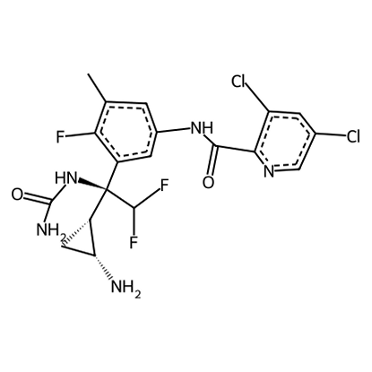 Cc1cc(NC(=O)c2ncc(Cl)cc2Cl)cc([C@](NC(N)=O)(C(F)F)[C@H]2C[C@H]2N)c1F